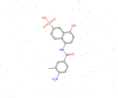 Cc1cc(C(=O)Nc2ccc(O)c3cc(S(=O)(=O)O)ccc23)ccc1N